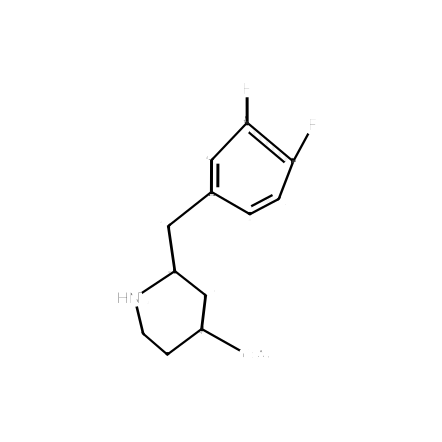 CC(=O)OC1CCNC(Cc2ccc(F)c(F)c2)C1